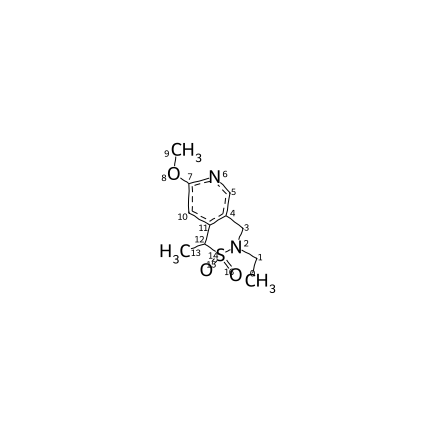 CCN1Cc2cnc(OC)cc2C(C)S1(=O)=O